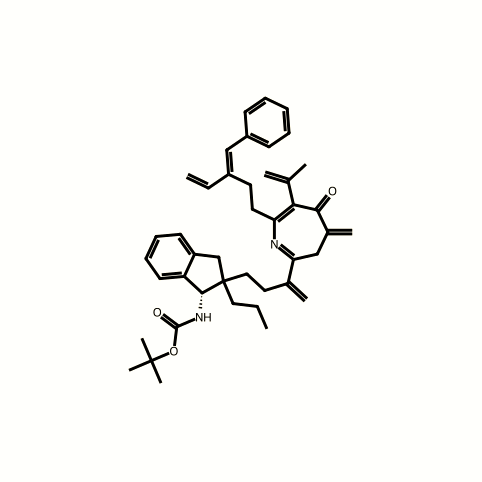 C=C/C(=C/c1ccccc1)CCC1=C(C(=C)C)C(=O)C(=C)CC(C(=C)CCC2(CCC)Cc3ccccc3[C@H]2NC(=O)OC(C)(C)C)=N1